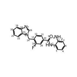 Nc1ccccc1NC(=O)c1ccc(Cn2cnc3ccccc32)c(F)c1